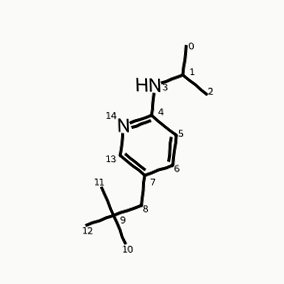 CC(C)Nc1ccc(CC(C)(C)C)cn1